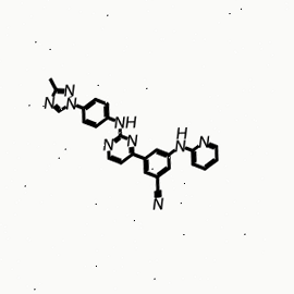 Cc1ncn(-c2ccc(Nc3nccc(-c4cc(C#N)cc(Nc5ccccn5)c4)n3)cc2)n1